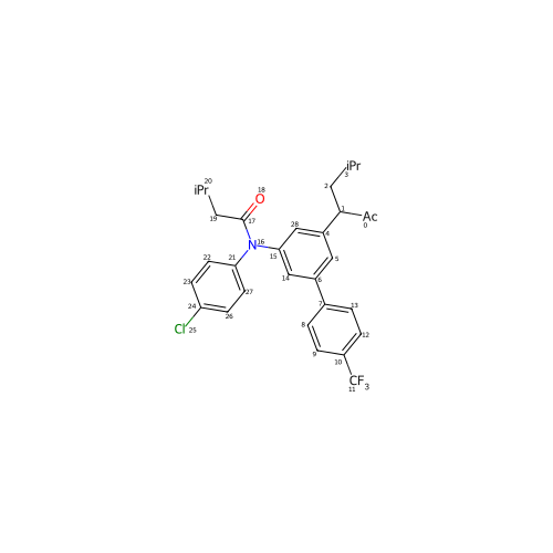 CC(=O)C(CC(C)C)c1cc(-c2ccc(C(F)(F)F)cc2)cc(N(C(=O)CC(C)C)c2ccc(Cl)cc2)c1